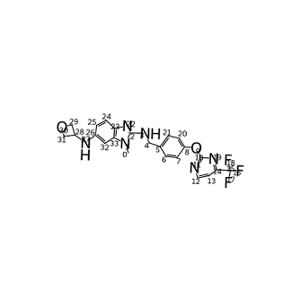 Cn1c(NCc2ccc(Oc3nccc(C(F)(F)F)n3)cc2)nc2ccc(NC3COC3)cc21